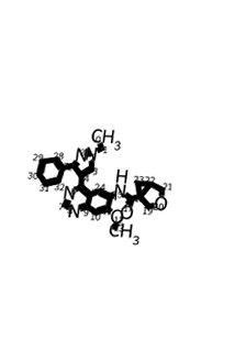 CCn1cc(-c2ncnc3cc(OC)c(NC(=O)C45COCC4C5)cc23)c(-c2ccccc2)n1